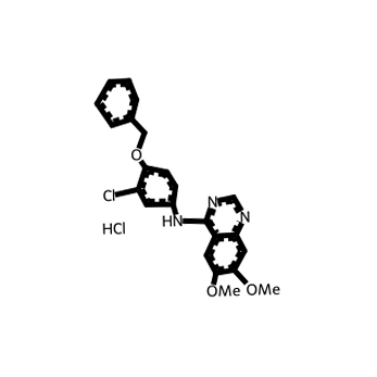 COc1cc2ncnc(Nc3ccc(OCc4ccccc4)c(Cl)c3)c2cc1OC.Cl